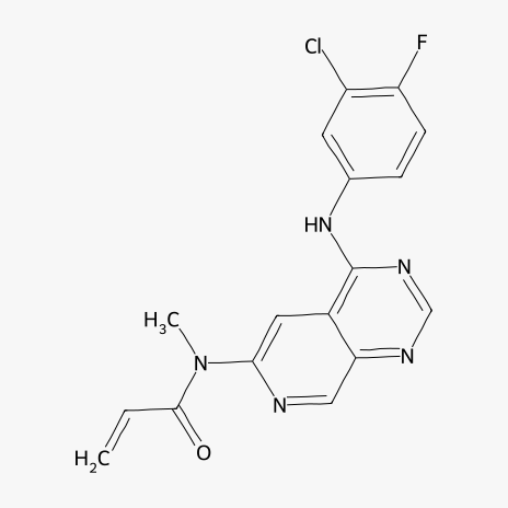 C=CC(=O)N(C)c1cc2c(Nc3ccc(F)c(Cl)c3)ncnc2cn1